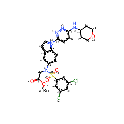 CC(C)(C)OC(=O)CN(c1ccc2c(ccn2-c2ccc(NC3CCOCC3)nn2)c1)S(=O)(=O)c1cc(Cl)cc(Cl)c1